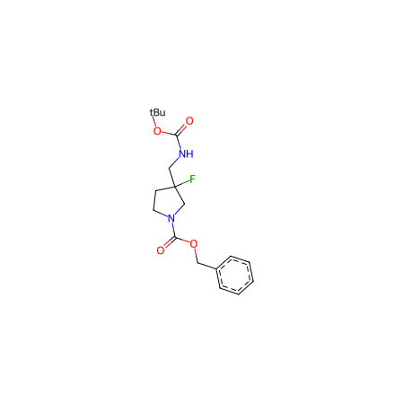 CC(C)(C)OC(=O)NCC1(F)CCN(C(=O)OCc2ccccc2)C1